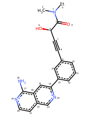 CCN(C)C(=O)[C@H](O)C#Cc1cccc(-c2cc3c(N)nccc3cn2)c1